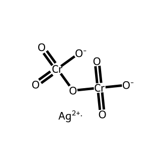 [Ag+2].[O]=[Cr](=[O])([O-])[O][Cr](=[O])(=[O])[O-]